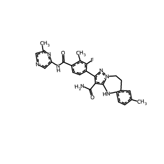 Cc1ccc2c(c1)CCn1nc(-c3ccc(C(=O)Nc4cncc(C)n4)c(C)c3F)c(C(N)=O)c1N2